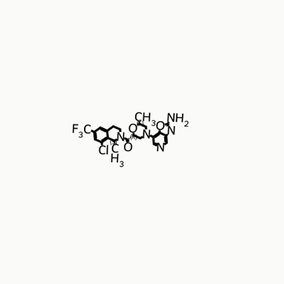 C[C@H]1CN(c2cncc3nc(N)oc23)C[C@H](C(=O)N2CCc3cc(C(F)(F)F)cc(Cl)c3[C@@H]2C)O1